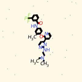 CCN(CC)CCNc1nccc(-c2cccnc2Oc2ccc(NC(=O)c3cccc(C(F)(F)F)c3)cc2C)n1